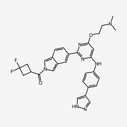 CN(C)CCOc1cc(Nc2ccc(-c3cn[nH]c3)cc2)nc(-c2ccc3cn(C(=O)C4CC(F)(F)C4)cc3c2)n1